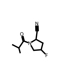 CC(C)C(=O)N1CC(F)CC1C#N